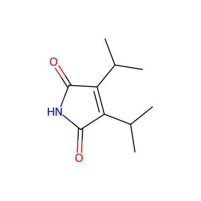 CC(C)C1=C(C(C)C)C(=O)NC1=O